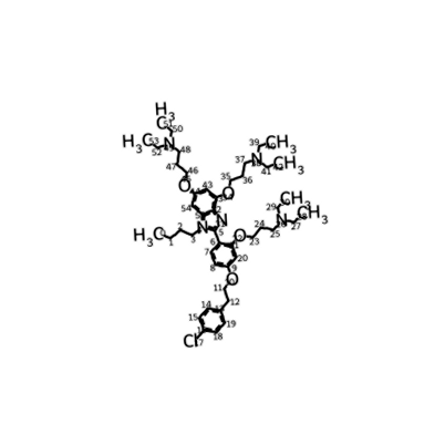 CCCCn1c(-c2ccc(OCCc3ccc(Cl)cc3)cc2OCCCN(CC)CC)nc2c(OCCCN(CC)CC)cc(OCCCN(CC)CC)cc21